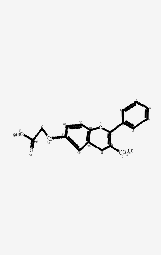 CCOC(=O)C1=C(c2ccccc2)Oc2ccc(OCC(=O)OC)cc2C1